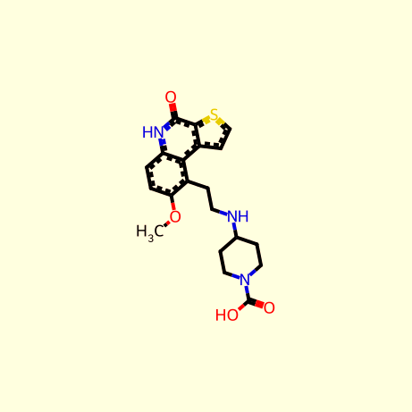 COc1ccc2[nH]c(=O)c3sccc3c2c1CCNC1CCN(C(=O)O)CC1